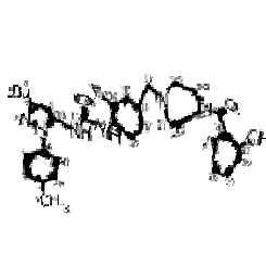 Cc1ccc(-n2nc(C(C)(C)C)cc2NC(=O)Nc2ccc(CN3CCN(C(=O)c4ccccc4C)CC3)cc2F)cc1